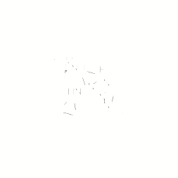 CC(Nc1nc(Nc2cc(C3CC3)[nH]n2)c(F)cc1CNS(=O)(=O)C1CC1)c1ccc(F)cc1